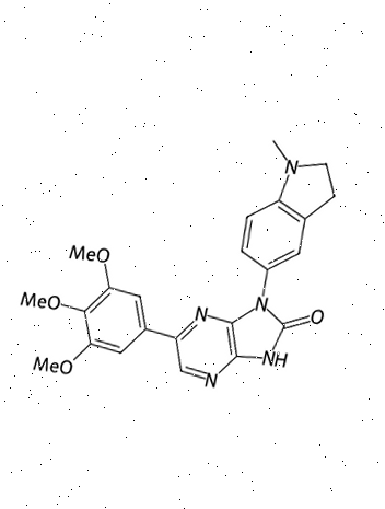 COc1cc(-c2cnc3[nH]c(=O)n(-c4ccc5c(c4)CCN5C)c3n2)cc(OC)c1OC